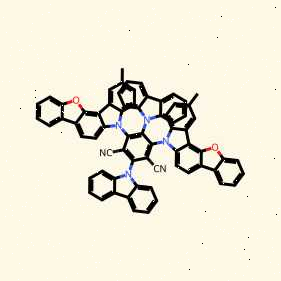 Cc1ccc2c(c1)c1c3oc4ccccc4c3ccc1n2-c1c(C#N)c(-n2c3ccccc3c3ccccc32)c(C#N)c(-n2c3ccc(C)cc3c3c4oc5ccccc5c4ccc32)c1-n1c2ccccc2c2ccccc21